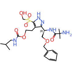 CC(C)CNC(=O)OCCc1c([C@H](COCc2ccccc2)NC(=O)C(C)(C)N)n[nH]c1S(=O)(=O)CO